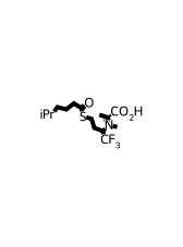 CC(C)CCCC(=O)SCCC(N(C)[C@@H](C)C(=O)O)C(F)(F)F